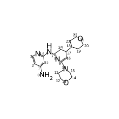 Nc1ccnc(NC2=NC(N3CCOCC3)=CC(C3CCOCC3)C2)c1